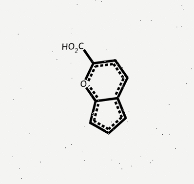 O=C(O)c1ccc2cccc-2o1